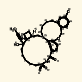 CC#C[C@@]1(O)CCCCCS(=O)(=O)NC(=O)c2ccc3c(c2)N(CCCCc2cc(Cl)ccc2CO3)C[C@@H]2CC[C@H]21